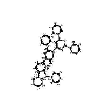 c1ccc(-c2nc(-c3ccccc3)nc(-c3cc4oc5c(ccc6c7ccccc7n(-c7ccccc7)c65)c4cc3-c3cccnc3)n2)cc1